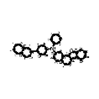 c1ccc(N(c2ccc(-c3ccc4ccccc4c3)cc2)c2ccc3ccc4c5ccccc5oc4c3c2)cc1